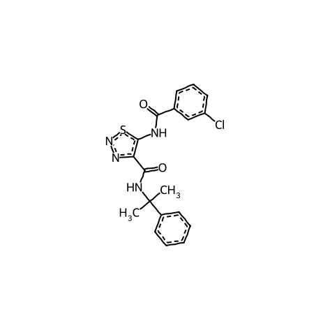 CC(C)(NC(=O)c1nnsc1NC(=O)c1cccc(Cl)c1)c1ccccc1